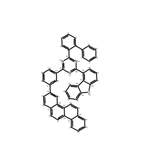 c1ccc(-c2ccccc2-c2nc(-c3cccc(-c4ccc5ccc6c7ccccc7ccc6c5c4)c3)nc(-c3cccc4oc5ccccc5c34)n2)cc1